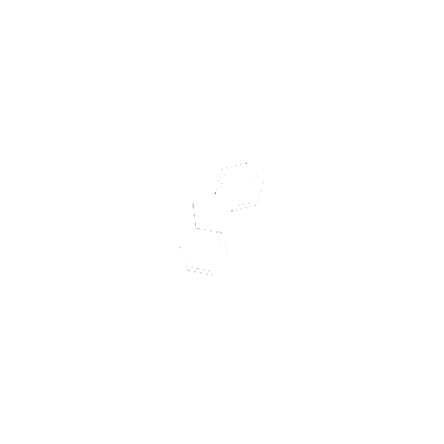 [c]1ccc2c(c1)-c1ccccc1[CH]2